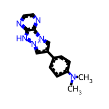 CN(C)c1ccc(-c2cn3c4nccnc4[nH][n+]3c2)cc1